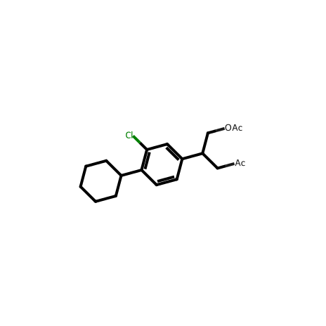 CC(=O)CC(COC(C)=O)c1ccc(C2CCCCC2)c(Cl)c1